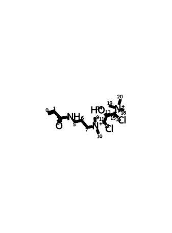 C=CC(=O)NCCC[N+](C)(C)C(Cl)C(O)C(Cl)[N+](C)(C)C